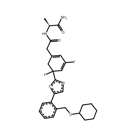 C[C@H](NC(=O)CC1=CC(F)=CC(F)(c2ncc(-c3ccccc3COC3CCCCC3)s2)C1)C(N)=O